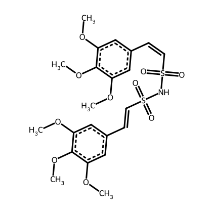 COc1cc(/C=C\S(=O)(=O)NS(=O)(=O)/C=C/c2cc(OC)c(OC)c(OC)c2)cc(OC)c1OC